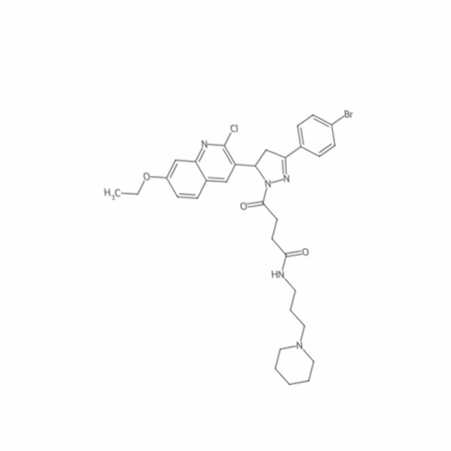 CCOc1ccc2cc(C3CC(c4ccc(Br)cc4)=NN3C(=O)CCC(=O)NCCCN3CCCCC3)c(Cl)nc2c1